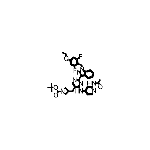 CCOc1cc(F)c(Cn2nc(-c3ncc(CC4CN(C(=O)OC(C)(C)C)C4)c(Nc4ccnc(NC(C)=O)c4)n3)c3ccccc32)c(F)c1